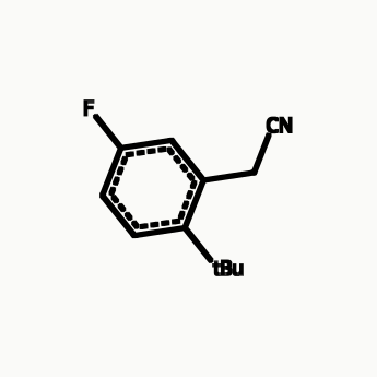 CC(C)(C)c1ccc(F)cc1CC#N